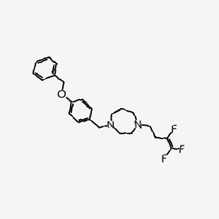 FC(F)=C(F)CCN1CCCN(Cc2ccc(OCc3ccccc3)cc2)CC1